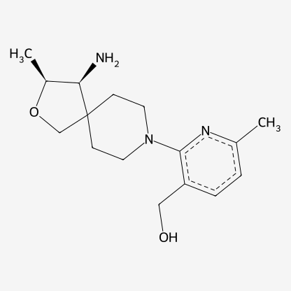 Cc1ccc(CO)c(N2CCC3(CC2)CO[C@@H](C)[C@H]3N)n1